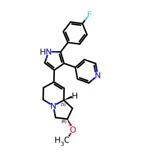 CO[C@@H]1C[C@H]2C=C(c3c[nH]c(-c4ccc(F)cc4)c3-c3ccncc3)CCN2C1